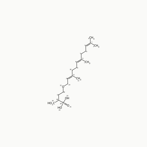 CC(C)=CCC/C(C)=C/CC/C(C)=C/COCCC(C(=O)O)P(=O)(O)O